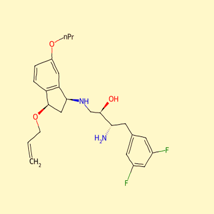 C=CCO[C@@H]1C[C@H](NC[C@@H](O)[C@@H](N)Cc2cc(F)cc(F)c2)c2cc(OCCC)ccc21